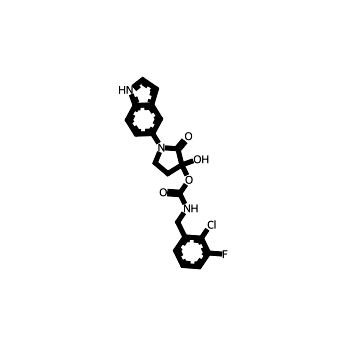 O=C(NCc1cccc(F)c1Cl)OC1(O)CCN(c2ccc3[nH]ccc3c2)C1=O